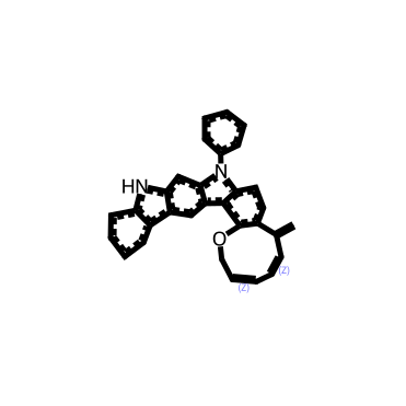 C=C1/C=C\C=C/COc2c1ccc1c2c2cc3c(cc2n1-c1ccccc1)[nH]c1ccccc13